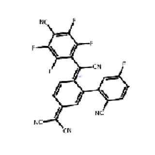 N#CC(C#N)=c1cc/c(=C(/C#N)c2c(F)c(F)c(C#N)c(F)c2F)c(-c2cc(F)ccc2C#N)c1